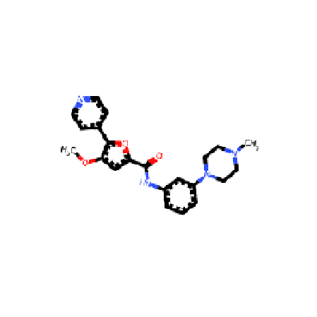 COc1cc(C(=O)Nc2cccc(N3CCN(C)CC3)c2)oc1-c1ccncc1